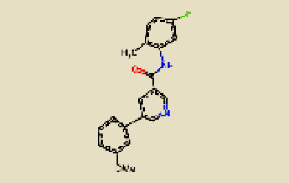 COc1cccc(-c2cncc(C(=O)Nc3cc(F)ccc3C)c2)c1